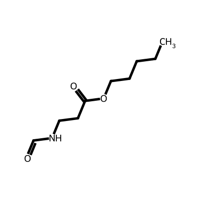 CCCCCOC(=O)CCNC=O